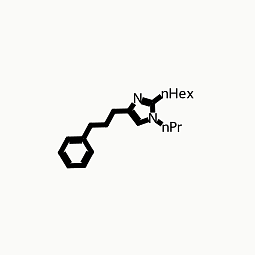 CCCCCCc1nc(CCCc2ccccc2)cn1CCC